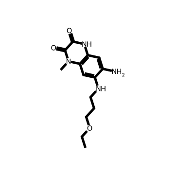 CCOCCCNc1cc2c(cc1N)[nH]c(=O)c(=O)n2C